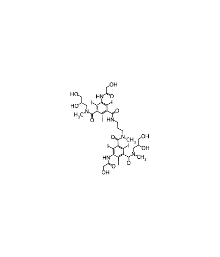 CN(CC(O)CO)C(=O)c1c(I)c(NC(=O)CO)c(I)c(C(=O)NCCCN(C)C(=O)c2c(I)c(NC(=O)CO)c(I)c(C(=O)N(C)CC(O)CO)c2I)c1I